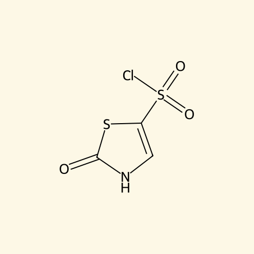 O=c1[nH]cc(S(=O)(=O)Cl)s1